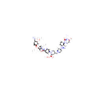 COc1cc(OC2C(C)(C)C(NC(=O)c3ccc(N4CCC(CN5CCC(n6ncc7c(N8CCC(=O)NC8=O)cccc76)CC5)CC4)cc3)C2(C)C)ccc1C#N.O=CO